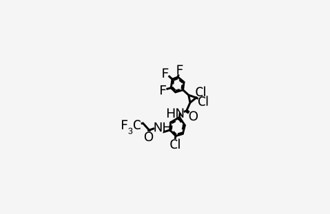 O=C(CC(F)(F)F)NCc1cc(NC(=O)C2C(c3cc(F)c(F)c(F)c3)C2(Cl)Cl)ccc1Cl